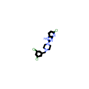 Clc1cc(Cl)cc(CN2CCN(c3nc4nc(Cl)ccc4[nH]3)CC2)c1